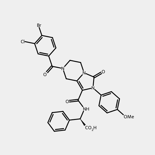 COc1ccc(-n2c(C(=O)N[C@@H](C(=O)O)c3ccccc3)c3n(c2=O)CCN(C(=O)c2ccc(Br)c(Cl)c2)C3)cc1